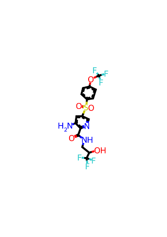 Nc1cc(S(=O)(=O)c2ccc(OC(F)(F)F)cc2)cnc1C(=O)NCC(O)C(F)(F)F